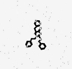 O=c1nc(SCc2ccccc2)n(CCc2ccncc2)cc1Cc1cncnc1